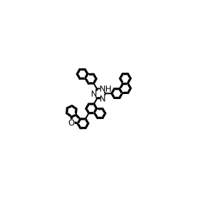 c1ccc2cc(C3=NC(c4ccc(-c5cccc6oc7ccccc7c56)c5ccccc45)=NC(c4ccc5ccc6ccccc6c5c4)N3)ccc2c1